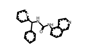 O=C(Nc1cccc2cnccc12)NC(c1ccccc1)c1ccccc1